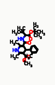 COC(=O)C1=C(C)NC(C)=C(C(=O)NC(C(=O)OC(C)(C)C)C(C)C)C1c1ccccc1C